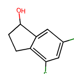 OC1CCc2c(F)cc(F)cc21